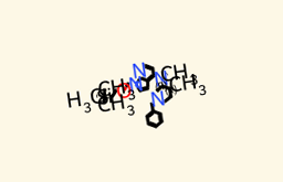 C[C@@H]1CCN(Cc2ccccc2)C[C@@H]1N(C)c1ccnc2c1ccn2COCC[Si](C)(C)C